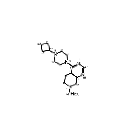 CCCCCCN1CCC2C(N3CCN(C4CCC4)CC3)=NC=NC2C1